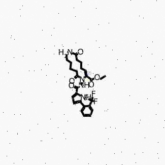 CCCCCC(=O)N(NC(=O)c1ccc(-c2ccccc2C(F)(F)F)[nH]1)/C(=C\CCCC(N)=O)C(=O)OCC